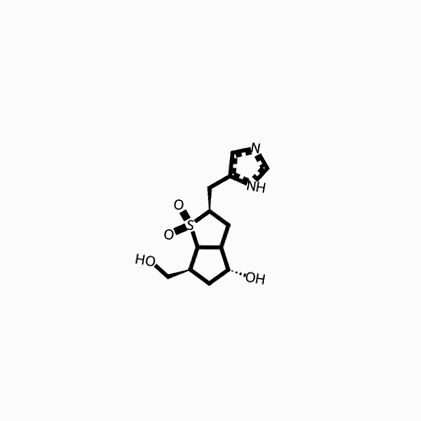 O=S1(=O)C2C(C[C@@H]1Cc1cnc[nH]1)[C@H](O)C[C@H]2CO